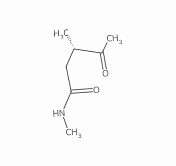 CNC(=O)C[C@H](C)C(C)=O